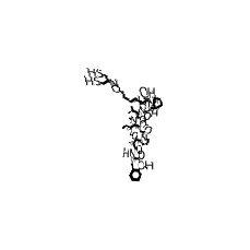 CC[C@H](C)[C@@H]([C@@H](CC(=O)N1CCC[C@H]1[C@H](OC)[C@@H](C)C(=O)N[C@@H](Cc1ccccc1)C(=O)O)OC)N(C)C(=O)[C@@H](NC(=O)[C@@H]1[C@H]2CC[C@H](C2)N1C(=O)CCCCCON=C(CS)CS)C(C)C